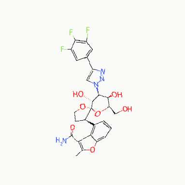 Cc1oc2cccc([C@H]3CCO[C@]34O[C@H](CO)[C@H](O)[C@H](n3cc(-c5cc(F)c(F)c(F)c5)nn3)[C@H]4O)c2c1C(N)=O